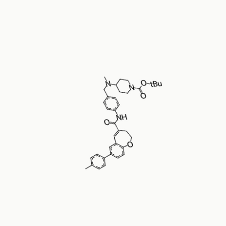 Cc1ccc(-c2ccc3c(c2)C=C(C(=O)Nc2ccc(CN(C)C4CCN(C(=O)OC(C)(C)C)CC4)cc2)CCO3)cc1